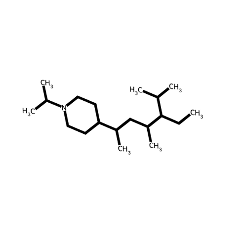 CCC(C(C)C)C(C)CC(C)C1CCN(C(C)C)CC1